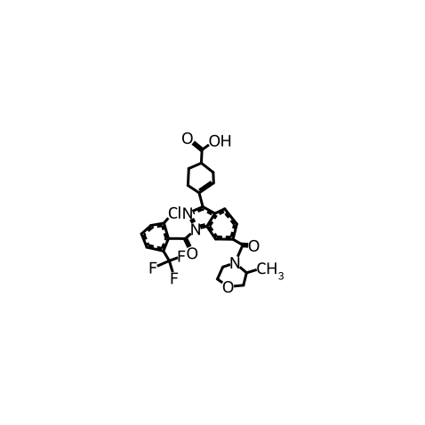 CC1COCCN1C(=O)c1ccc2c(C3=CCC(C(=O)O)CC3)nn(C(=O)c3c(Cl)cccc3C(F)(F)F)c2c1